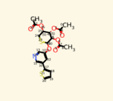 CC(=O)O[C@@H]1[C@@H](OC(C)=O)[C@@H](Oc2cncc(-c3cccs3)c2)SC[C@H]1OC(C)=O